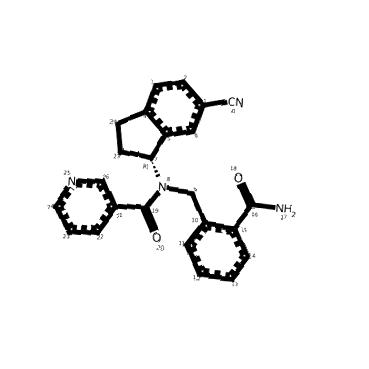 N#Cc1ccc2c(c1)[C@H](N(Cc1ccccc1C(N)=O)C(=O)c1cccnc1)CC2